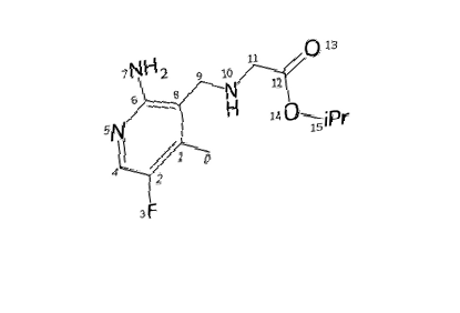 Cc1c(F)cnc(N)c1CNCC(=O)OC(C)C